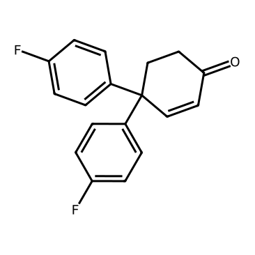 O=C1C=CC(c2ccc(F)cc2)(c2ccc(F)cc2)CC1